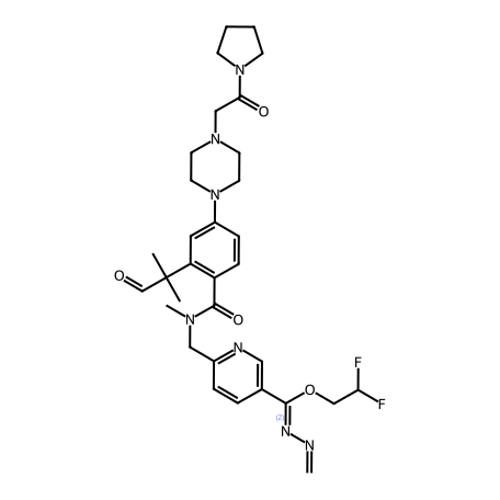 C=N/N=C(\OCC(F)F)c1ccc(CN(C)C(=O)c2ccc(N3CCN(CC(=O)N4CCCC4)CC3)cc2C(C)(C)C=O)nc1